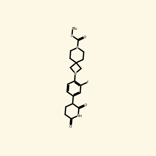 CC(C)(C)OC(=O)N1CCC2(CC1)CN(c1ccc(C3CCC(=O)NC3=O)cc1F)C2